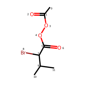 CC(=O)OOC(=O)C(Br)C(C)C